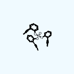 CC#Cc1ccccc1OP(=O)(Oc1ccccc1C#CC)Oc1ccccc1C#CC